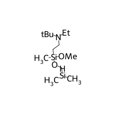 CCN(CC[Si](C)(OC)OC[SiH](C)C)C(C)(C)C